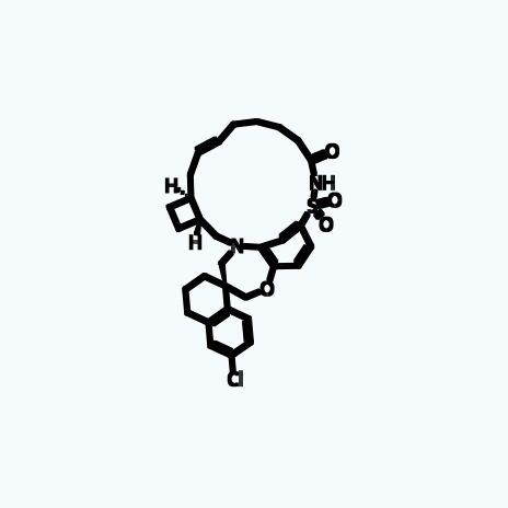 O=C1CCCC/C=C/C[C@@H]2CC[C@H]2CN2C[C@@]3(CCCc4cc(Cl)ccc43)COc3ccc(cc32)S(=O)(=O)N1